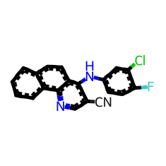 N#Cc1cnc2c(ccc3ccccc32)c1Nc1ccc(F)c(Cl)c1